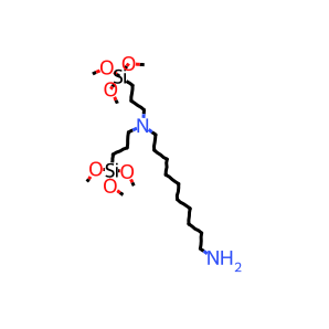 CO[Si](CCCN(CCCCCCCCCCN)CCC[Si](OC)(OC)OC)(OC)OC